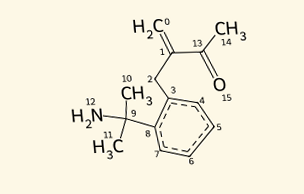 C=C(Cc1ccccc1C(C)(C)N)C(C)=O